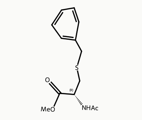 COC(=O)[C@H](CSCc1ccccc1)NC(C)=O